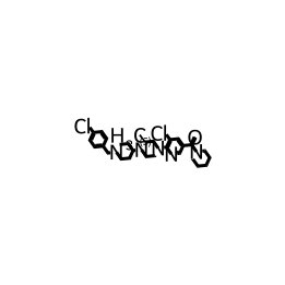 C[C@H]1CN(c2ncc(C(=O)N3CCCCC3)cc2Cl)CCN1C1CCN(Cc2ccc(Cl)cc2)CC1